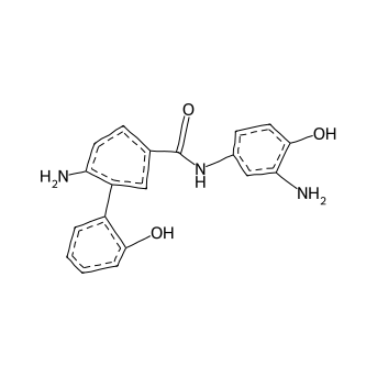 Nc1cc(NC(=O)c2ccc(N)c(-c3ccccc3O)c2)ccc1O